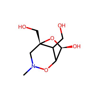 CN1C[C@]2(CO)O[C@@H](O)C(O1)C2CO